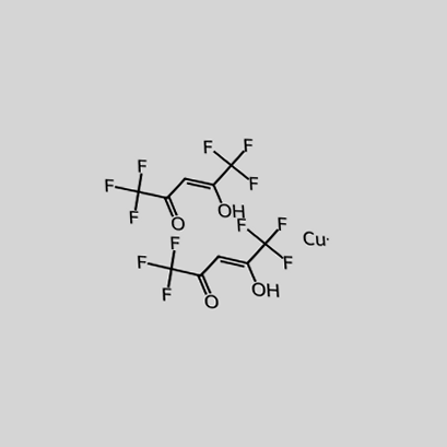 O=C(/C=C(\O)C(F)(F)F)C(F)(F)F.O=C(/C=C(\O)C(F)(F)F)C(F)(F)F.[Cu]